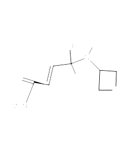 CNC(=O)C=CC(C)(C)N(C)C1COC1